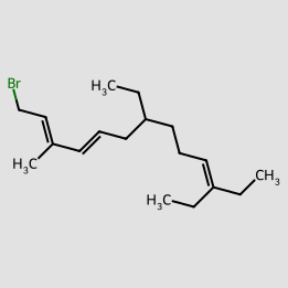 CCC(=CCCC(CC)CC=CC(C)=CCBr)CC